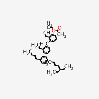 C=CC(C=C)=CC=CC.C=CC=Cc1ccccc1.C=COC(C)=O.C=Cc1ccccc1.C=Cc1ccccc1C